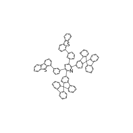 c1cc(-c2cc(-c3cccc(-c4cccc5c4sc4ccccc45)c3)c(-c3ccc4c(c3)-c3ccccc3C43c4ccccc4-c4ccccc43)nc2-c2ccc3c(c2)-c2ccccc2C32c3ccccc3-c3ccccc32)cc(-c2cccc3c2sc2ccccc23)c1